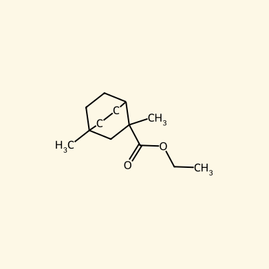 CCOC(=O)C1(C)CC2(C)CCC1CC2